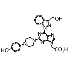 O=C(O)Cn1cnc2c(-n3nc(CO)c4ccccc43)nc(N3CCN(c4ccc(O)cc4)CC3)nc21